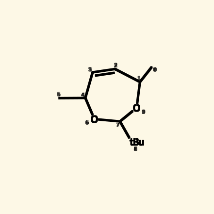 CC1C=CC(C)OC(C(C)(C)C)O1